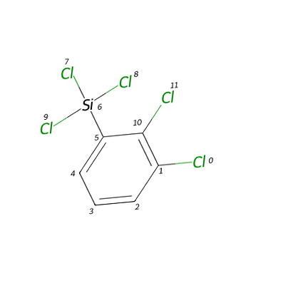 Clc1cccc([Si](Cl)(Cl)Cl)c1Cl